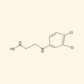 SNCCNc1ccc(Cl)c(Cl)c1